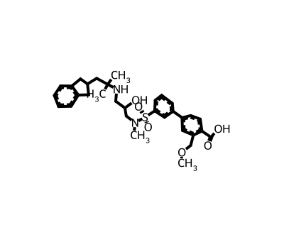 COCc1cc(-c2cccc(S(=O)(=O)N(C)CC(O)CNC(C)(C)CC3Cc4ccccc4C3)c2)ccc1C(=O)O